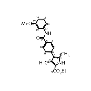 CCOC(=O)c1[nH]c(C)c(-c2ccc(C(=O)Nc3cccc(OC)c3)cc2)c1C